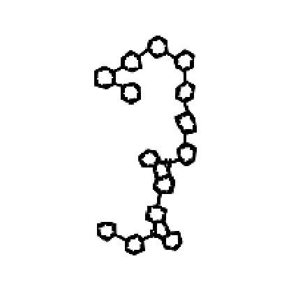 c1ccc(-c2cccc(-n3c4ccccc4c4cc(-c5ccc6c(c5)c5ccccc5n6-c5cccc(-c6ccc(-c7ccc(-c8cccc(-c9cccc(-c%10ccc(-c%11ccccc%11-c%11ccccc%11)cc%10)c9)c8)cc7)cc6)c5)ccc43)c2)cc1